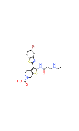 CCNCCC(=O)Nc1sc2c(c1-c1nc3cc(Br)ccc3s1)CCN(C(=O)O)C2